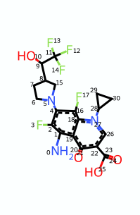 Nc1c(F)c(N2CCC(C(O)C(F)(F)F)C2)c(F)c2c1c(=O)c(C(=O)O)cn2C1CC1